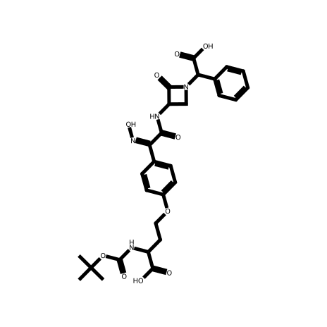 CC(C)(C)OC(=O)NC(CCOc1ccc(/C(=N/O)C(=O)NC2CN(C(C(=O)O)c3ccccc3)C2=O)cc1)C(=O)O